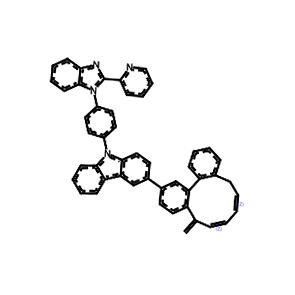 C=C1/C=C\C=C/Cc2ccccc2-c2cc(-c3ccc4c(c3)c3ccccc3n4-c3ccc(-n4c(-c5ccccn5)nc5ccccc54)cc3)ccc21